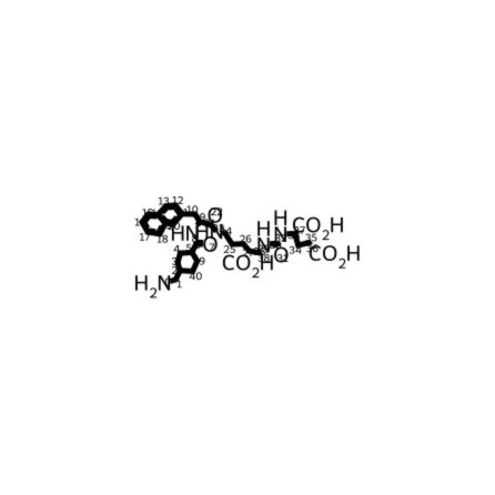 NCC1CCC(C(=O)NC(Cc2ccc3ccccc3c2)C(=O)NCCCC[C@@H](NC(=O)N[C@@H](CCC(=O)O)C(=O)O)C(=O)O)CC1